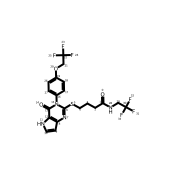 O=C(CCCSc1nc2cc[nH]c2c(=O)n1-c1ccc(OCC(F)(F)F)cc1)NCC(F)(F)F